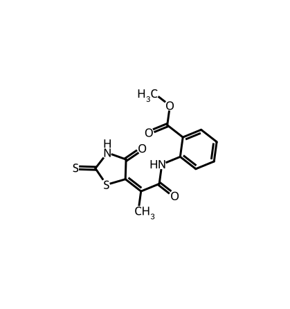 COC(=O)c1ccccc1NC(=O)C(C)=C1SC(=S)NC1=O